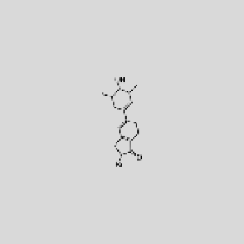 CC1C=C(C2=CC3=C(CC2)C(=O)C(Br)C3)CC(C)C1O